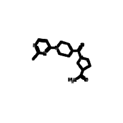 Cc1nccc(N2CCC(C(=O)N3CCC(C(N)=O)C3)CC2)n1